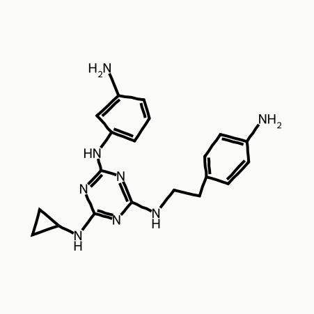 Nc1ccc(CCNc2nc(Nc3cccc(N)c3)nc(NC3CC3)n2)cc1